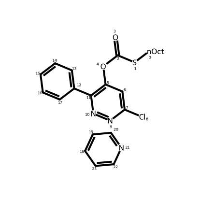 CCCCCCCCSC(=O)Oc1cc(Cl)nnc1-c1ccccc1.c1ccncc1